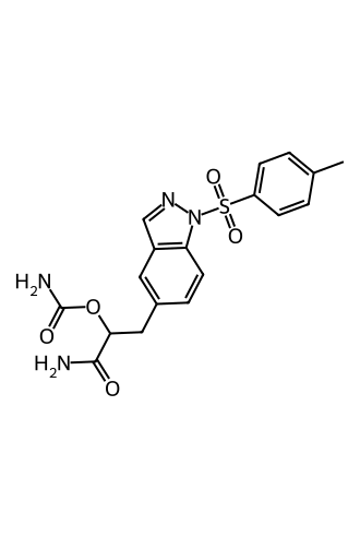 Cc1ccc(S(=O)(=O)n2ncc3cc(CC(OC(N)=O)C(N)=O)ccc32)cc1